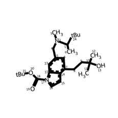 CC(N(C)Cc1cc(CCC(C)(C)O)c2ccn(C(=O)OC(C)(C)C)c2c1)C(C)(C)C